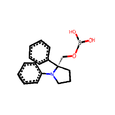 OB(O)OC[C@]1(c2ccccc2)CCCN1c1ccccc1